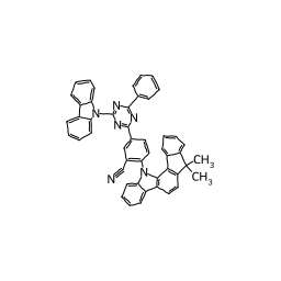 CC1(C)c2ccccc2-c2c1ccc1c3ccccc3n(-c3ccc(-c4nc(-c5ccccc5)nc(-n5c6ccccc6c6ccccc65)n4)cc3C#N)c21